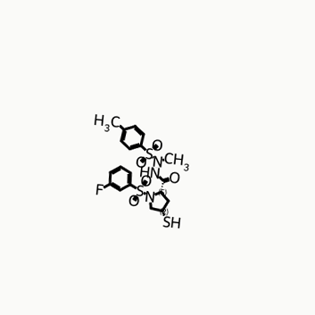 Cc1ccc(S(=O)(=O)N(C)NC(=O)[C@@H]2C[C@@H](S)CN2S(=O)(=O)c2cccc(F)c2)cc1